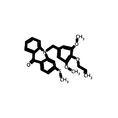 C=CCOc1c(OC)cc(Cn2c3ccccc3c(=O)c3ccc(SC)cc32)cc1OC